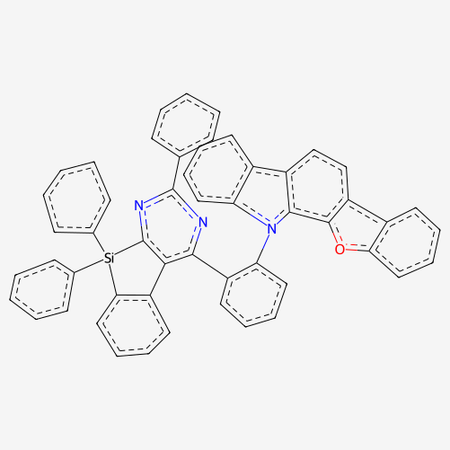 c1ccc(-c2nc(-c3ccccc3-n3c4ccccc4c4ccc5c6ccccc6oc5c43)c3c(n2)[Si](c2ccccc2)(c2ccccc2)c2ccccc2-3)cc1